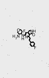 N[C@H]1COCC[C@H]1Nc1nc(C=Cc2ccc(F)cc2)c2c(c1F)CNC2=O